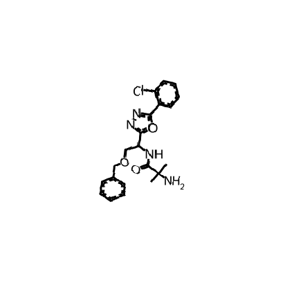 CC(C)(N)C(=O)NC(COCc1ccccc1)c1nnc(-c2ccccc2Cl)o1